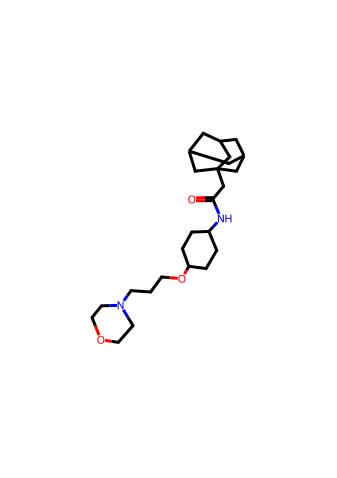 O=C(CC12CC3CC(CC(C3)C1)C2)NC1CCC(OCCCN2CCOCC2)CC1